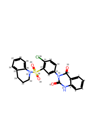 O=c1[nH]c2ccccc2c(=O)n1-c1ccc(Cl)c(S(=O)(=O)N2CCCc3ccccc32)c1